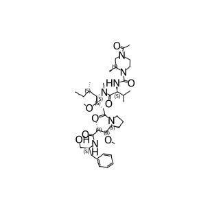 CC[C@H](C)[C@@H]([C@H](CC(=O)N1CCC[C@H]1[C@H](OC)[C@@H](C)C(=O)N[C@H](CO)Cc1ccccc1)OC)N(C)C(=O)[C@@H](NC(=O)N1CCN(C(C)=O)C[C@@H]1C)C(C)C